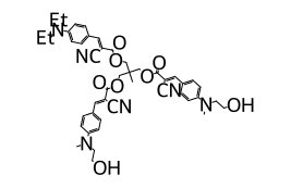 CCN(CC)c1ccc(/C=C(\C#N)C(=O)OCC(C)(COC(=O)/C(C#N)=C/c2ccc(N(C)CCO)cc2)COC(=O)/C(C#N)=C/c2ccc(N(C)CCO)cc2)cc1